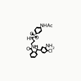 CC(=O)Nc1ccc(S(=O)(=O)NCCNC(=O)c2ccccc2C(=O)c2ccc(Cl)c(N)c2)cc1